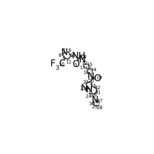 CN(C(=O)Nc1cncc(C(F)(F)F)c1)C1CC2(C1)CN(C(=O)c1cnn3cc(N4CCCC4)ccc13)C2